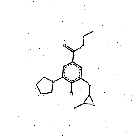 CCOC(=O)c1cc(OC2OC2C)c(Cl)c(N2CCCC2)c1